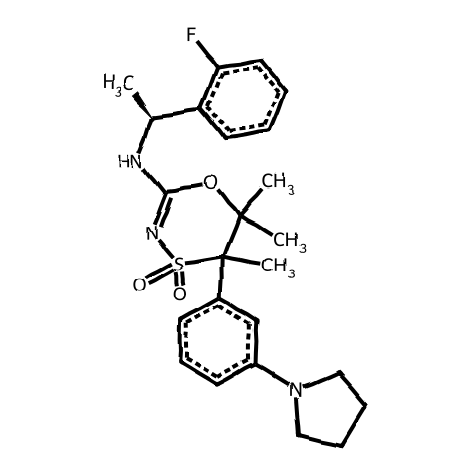 C[C@H](NC1=NS(=O)(=O)C(C)(c2cccc(N3CCCC3)c2)C(C)(C)O1)c1ccccc1F